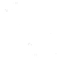 C=C(N)/C=C/c1ccc(CNC(=C)c2c(F)c(F)c(F)c(F)c2F)cc1